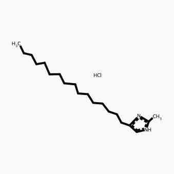 CCCCCCCCCCCCCCCCc1c[nH]c(C)n1.Cl